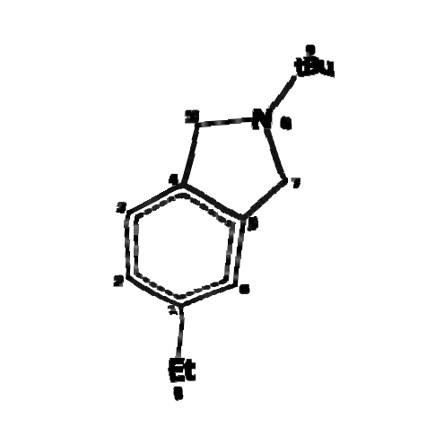 CCc1ccc2c(c1)CN(C(C)(C)C)C2